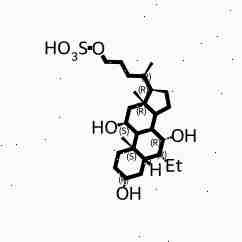 CC[C@H]1[C@@H](O)C2C3CC[C@H]([C@H](C)CCCOS(=O)(=O)O)[C@@]3(C)C[C@H](O)C2[C@@]2(C)CC[C@@H](O)C[C@@H]12